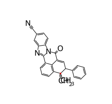 C=Cc1cccc2c1/c(=C\C(CC)c1ccccc1)c(=O)n1c3ccc(C#N)cc3nc21